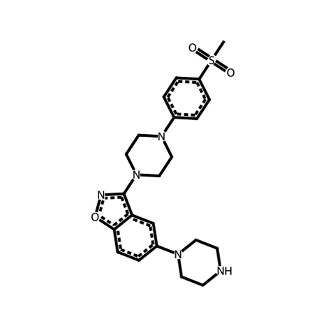 CS(=O)(=O)c1ccc(N2CCN(c3noc4ccc(N5CCNCC5)cc34)CC2)cc1